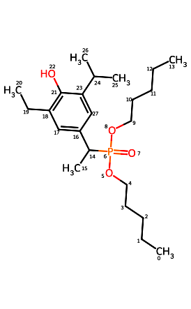 CCCCCOP(=O)(OCCCCC)C(C)c1cc(CC)c(O)c(C(C)C)c1